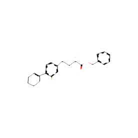 O=C(OCc1ccccc1)[C@@H](O)CCc1ccc(C2=CCCCC2)c(F)c1